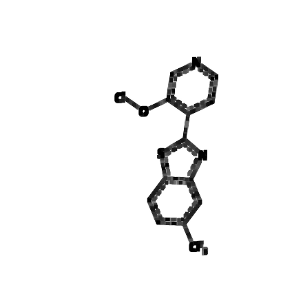 FC(F)(F)c1ccc2sc(-c3ccncc3OCl)nc2c1